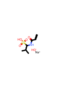 C=CC(=O)NC(C(C)C)S(=O)(=O)O.[Na+].[OH-]